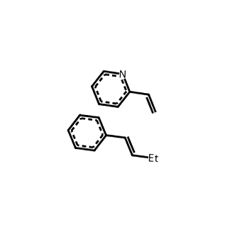 C=Cc1ccccn1.CCC=Cc1ccccc1